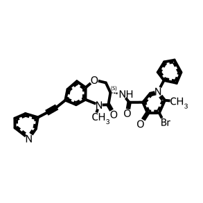 Cc1c(Br)c(=O)c(C(=O)N[C@H]2COc3ccc(C#Cc4cccnc4)cc3N(C)C2=O)cn1-c1ccccc1